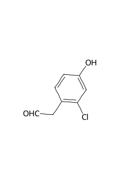 O=CCc1ccc(O)cc1Cl